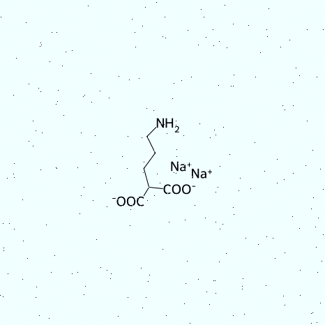 NCCCC(C(=O)[O-])C(=O)[O-].[Na+].[Na+]